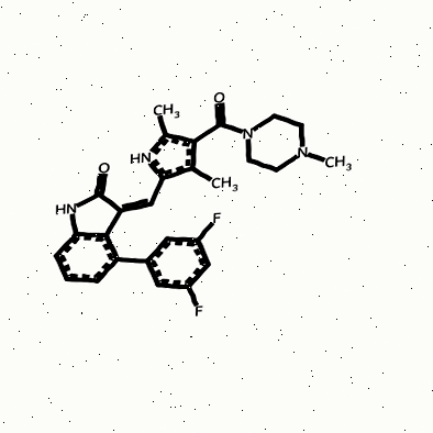 Cc1[nH]c(/C=C2\C(=O)Nc3cccc(-c4cc(F)cc(F)c4)c32)c(C)c1C(=O)N1CCN(C)CC1